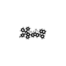 CC1(C)c2cc(-c3cc4c(-c5ccccc5)c(-c5ccccc5)n(-c5ccc(F)cc5)c4c4ccccc34)ccc2-c2ccc(N(c3ccccc3)c3cccc4ccccc34)cc21